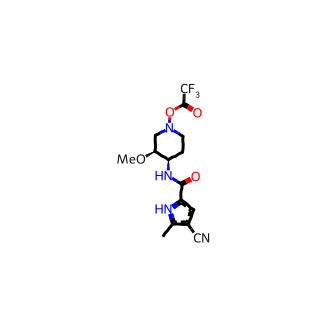 CO[C@H]1CN(OC(=O)C(F)(F)F)CC[C@H]1NC(=O)c1cc(C#N)c(C)[nH]1